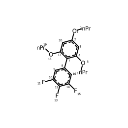 CCCOc1cc(OCCC)c(-c2cc(F)c(F)c(F)c2)c(OCCC)c1